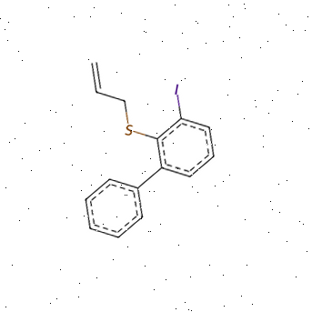 C=CCSc1c(I)cccc1-c1ccccc1